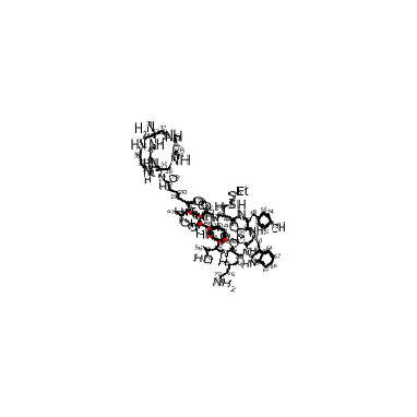 CCSSC[C@H](NC(=O)[C@@H](Cc1ccccc1)NC(=O)CCCC(=O)N[C@]12CNCCNC[C@](N)(CNCCNC1)NCCN2)C(=O)N[C@@H](Cc1ccc(O)cc1)C(=O)N[C@H](Cc1c[nH]c2ccccc12)C(=O)N[C@@H](CCCCN)C(=O)NC(C(=O)NCC(=O)NC(C(=O)O)C(C)O)C(C)O